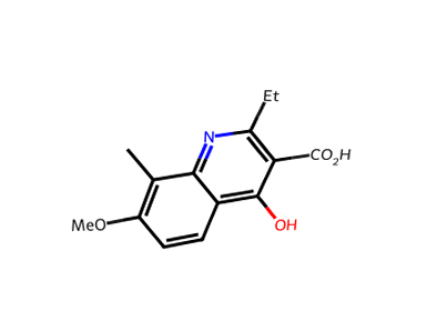 CCc1nc2c(C)c(OC)ccc2c(O)c1C(=O)O